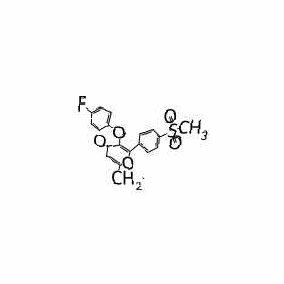 [CH2]c1cc(=O)c(Oc2ccc(F)cc2)c(-c2ccc(S(C)(=O)=O)cc2)o1